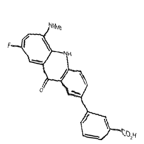 CNc1cc(F)cc2c(=O)c3cc(-c4cccc(C(=O)O)c4)ccc3[nH]c12